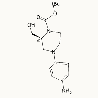 CC(C)(C)OC(=O)N1CCN(c2ccc(N)cc2)C[C@H]1CO